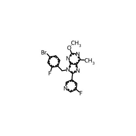 COc1nc(C)c2nc(-c3cncc(F)c3)n(Cc3ccc(Br)cc3F)c2n1